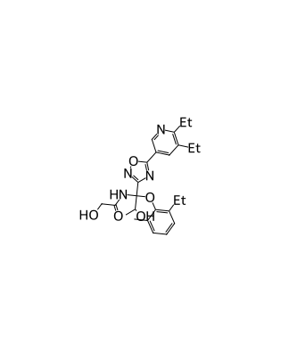 CCc1cc(-c2nc(C(NC(=O)CO)(Oc3c(C)cccc3CC)C(C)O)no2)cnc1CC